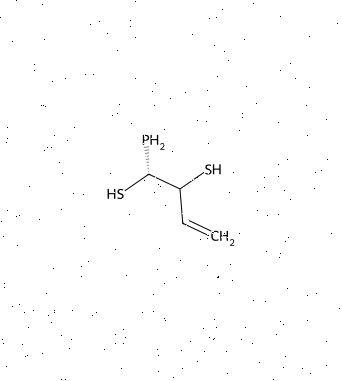 C=CC(S)[C@@H](P)S